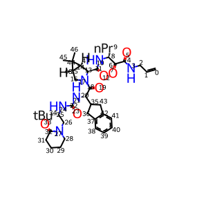 C=CCNC(=O)C(=O)[C@H](CCC)NC(=O)[C@@H]1[C@@H]2[C@H](CN1C(=O)[C@@H](NC(=O)N[C@H](CN1CCCCC1=O)C(C)(C)C)C1Cc3ccccc3C1)C2(C)C